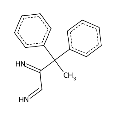 CC(C(=N)C=N)(c1ccccc1)c1ccccc1